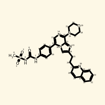 CS(=O)(=O)NC(=O)Nc1ccc(-c2cnc(N3CCOCC3)c3nc(CCc4ccc5ccccc5n4)cn23)cc1